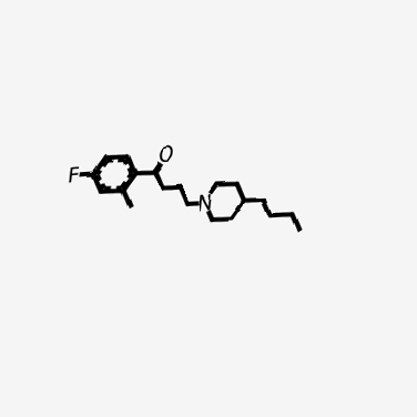 CCCCC1CCN(CCCC(=O)c2ccc(F)cc2C)CC1